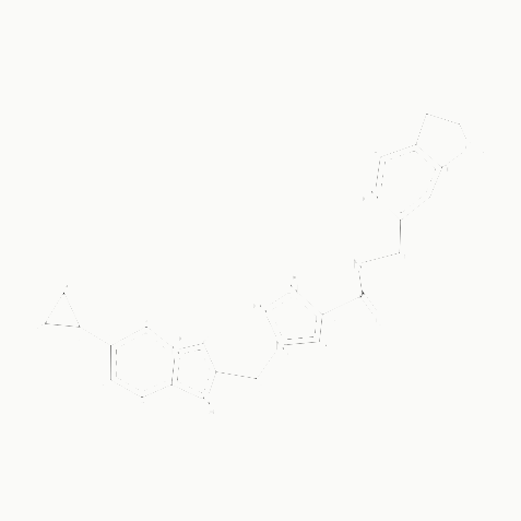 O=C(NCc1cc2c(cn1)CCO2)c1cn(Cc2cn3cc(C4CC4)ccc3n2)nn1